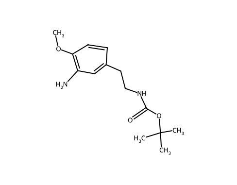 COc1ccc(CCNC(=O)OC(C)(C)C)cc1N